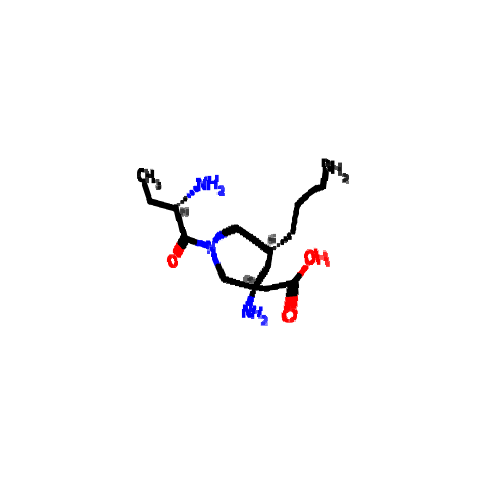 BCCC[C@H]1CN(C(=O)[C@@H](N)CC)C[C@@]1(N)C(=O)O